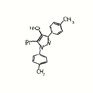 Cc1ccc(-c2nn(-c3ccc(C)cc3)c(C(C)C)c2O)cc1